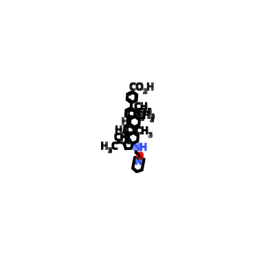 C=C(C)[C@@H]1CC[C@]2(NCCN3C4CCCC3COC4)CC[C@]3(C)[C@H](CC[C@@H]4[C@@]5(C)CC=C(c6ccc(C(=O)O)cc6)C(C)(C)[C@]5(C)CC[C@]43C)C12